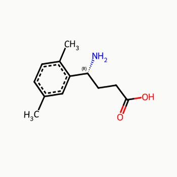 Cc1ccc(C)c([C@H](N)CCC(=O)O)c1